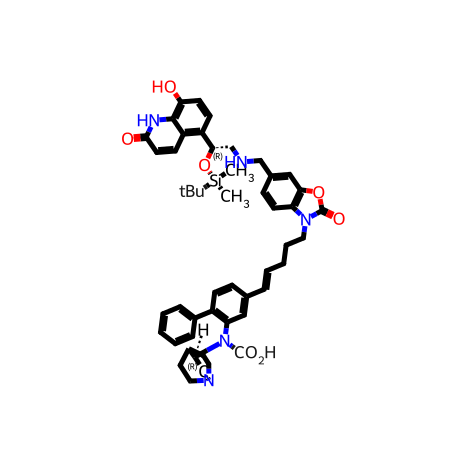 CC(C)(C)[Si](C)(C)O[C@@H](CNCc1ccc2c(c1)oc(=O)n2CCCC=Cc1ccc(-c2ccccc2)c(N(C(=O)O)[C@H]2CN3CCC2CC3)c1)c1ccc(O)c2[nH]c(=O)ccc12